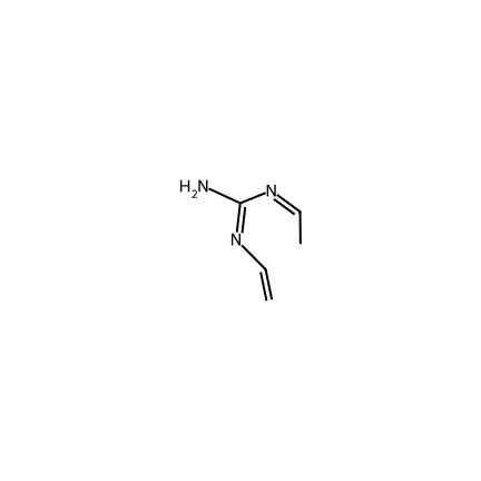 C=C/N=C(N)\N=C/C